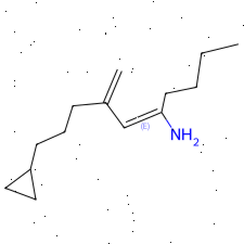 C=C(/C=C(/N)CCCC)CCCC1CC1